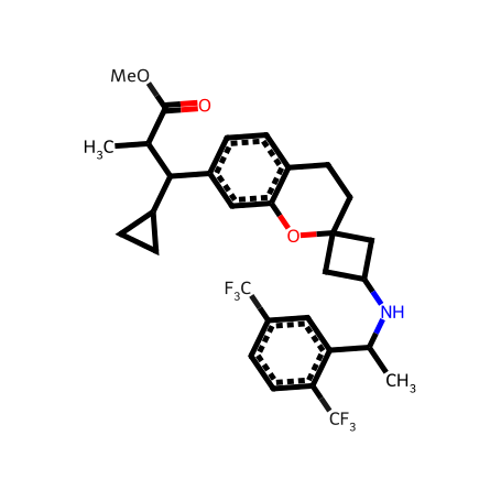 COC(=O)C(C)C(c1ccc2c(c1)OC1(CC2)CC(NC(C)c2cc(C(F)(F)F)ccc2C(F)(F)F)C1)C1CC1